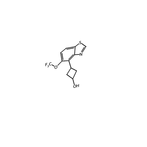 OC1CC(c2c(OC(F)(F)F)ccc3scnc23)C1